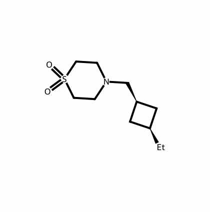 CC[C@H]1C[C@@H](CN2CCS(=O)(=O)CC2)C1